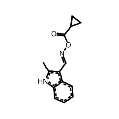 Cc1[nH]c2ccccc2c1/C=N/OC(=O)C1CC1